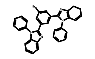 Brc1cc(-c2nc3c(n2-c2ccccc2)C=CCC3)cc(-c2nc3ccccc3n2-c2ccccc2)c1